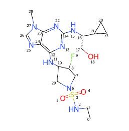 CCNS(=O)(=O)N1CC(F)C(Nc2nc(N[C@@H](CO)C3CC3)nc3c2ncn3C)C1